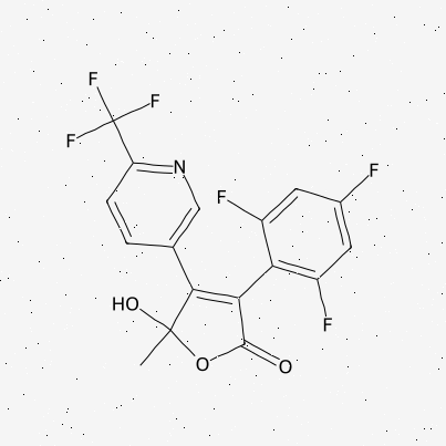 CC1(O)OC(=O)C(c2c(F)cc(F)cc2F)=C1c1ccc(C(F)(F)F)nc1